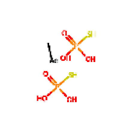 CC(C)=O.O=P(O)(O)S.O=P(O)(O)S